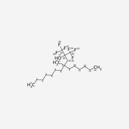 CCCCCCCC(C)(CCCCCC)CC(O)(C(F)(F)F)C(F)(F)F